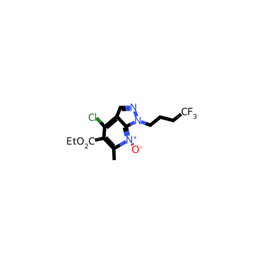 CCOC(=O)c1c(Cl)c2cnn(CCCC(F)(F)F)c2[n+]([O-])c1C